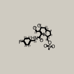 CS(=O)(=O)OCC1CCc2cc(=O)c(C=O)c(C(=O)NCc3ccc(F)cc3)n21